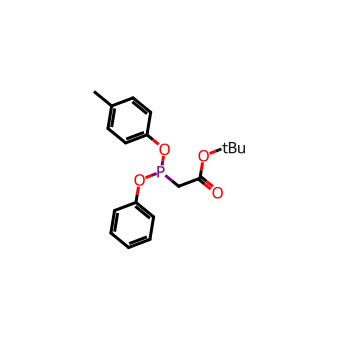 Cc1ccc(OP(CC(=O)OC(C)(C)C)Oc2ccccc2)cc1